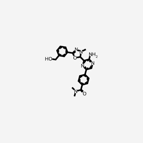 CN(C)C(=O)c1ccc(-c2cnc(N)c(C3OC(c4cccc(CO)c4)=NN3C)n2)cc1